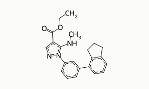 CCOC(=O)c1cnn(-c2cccc(-c3cccc4c3CCC4)c2)c1NC